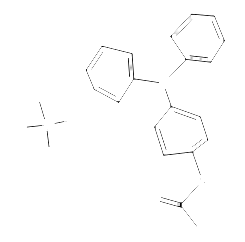 CC(=O)Nc1ccc([S+](c2ccccc2)c2ccccc2)cc1.F[B-](F)(F)F